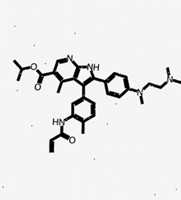 C=CC(=O)Nc1cc(-c2c(-c3ccc(N(C)CCN(C)C)cc3)[nH]c3ncc(C(=O)OC(C)C)c(C)c23)ccc1C